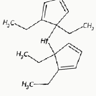 CCC1=CC=C[C]1(CC)[Hf][C]1(CC)C=CC=C1CC